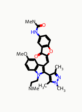 CNCCn1c(-c2c(C)nn(C)c2C)c(C=C2Oc3ccc(NC(=O)NC)cc3C2=O)c2cc(OC)ccc21